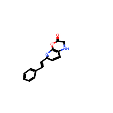 O=C1CNc2ccc(/C=C/c3ccccc3)nc2O1